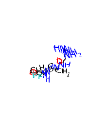 C=C(NCCNC(=O)CCCCNC(=N)N)c1ccc(Nc2nccn3c(-c4ccc(OC)c(F)c4F)cnc23)cc1CC